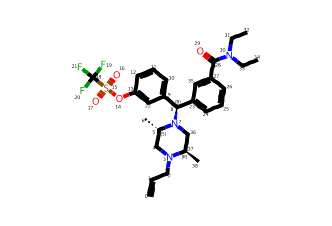 C=CCN1C[C@H](C)N([C@@H](c2cccc(OS(=O)(=O)C(F)(F)F)c2)c2cccc(C(=O)N(CC)CC)c2)C[C@H]1C